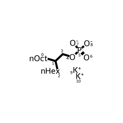 CCCCCCCCC(CCCCCC)COP(=O)([O-])[O-].[K+].[K+]